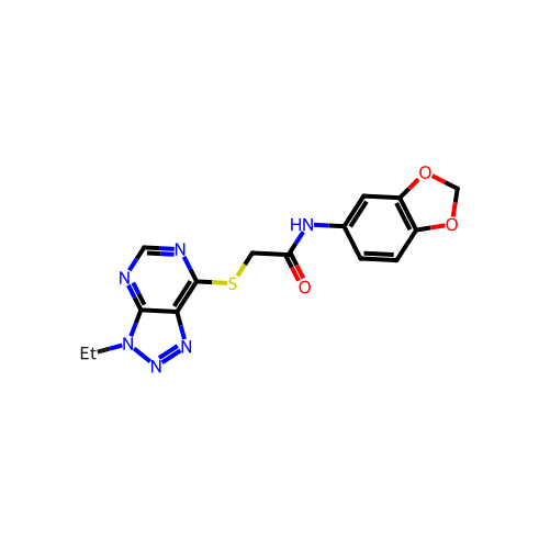 CCn1nnc2c(SCC(=O)Nc3ccc4c(c3)OCO4)ncnc21